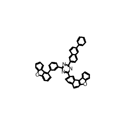 c1ccc(-c2ccc3cc(-c4nc(-c5cccc(-c6cccc7oc8ccccc8c67)c5)nc(-c5ccc6ccc7oc8ccccc8c7c6c5)n4)ccc3c2)cc1